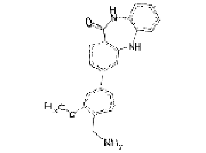 COc1cc(-c2ccc3c(c2)Nc2cc[c]cc2NC3=O)ccc1CN